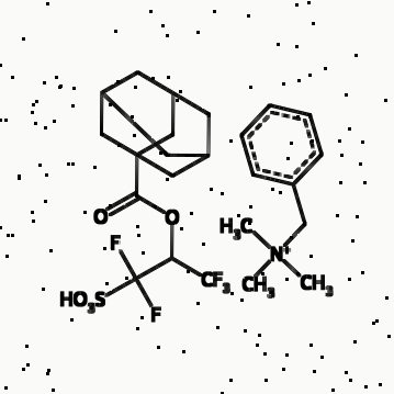 C[N+](C)(C)Cc1ccccc1.O=C(OC(C(F)(F)F)C(F)(F)S(=O)(=O)O)C12CC3CC(CC(C3)C1)C2